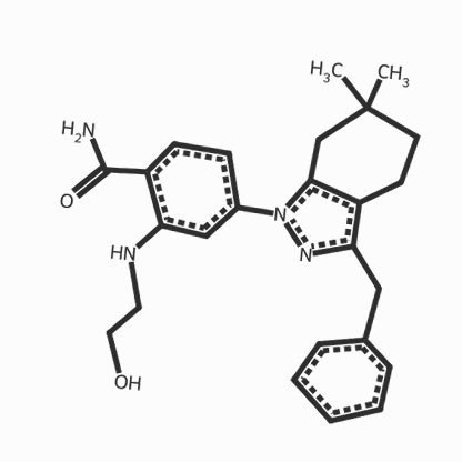 CC1(C)CCc2c(Cc3ccccc3)nn(-c3ccc(C(N)=O)c(NCCO)c3)c2C1